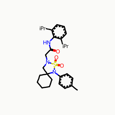 Cc1ccc(N2C3(CCCCC3)CN(CC(=O)Nc3c(C(C)C)cccc3C(C)C)S2(=O)=O)cc1